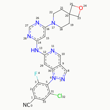 N#Cc1cc(F)c(-n2ncc3cnc(Nc4cc(N5CCC6(CC5)COC6)ncn4)cc32)c(Cl)c1